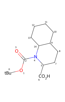 CC(C)(C)OC(=O)N1C(C(=O)O)CCC2CCCCC21